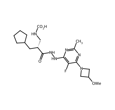 COC1CN(c2nc(C)nc(NNC(=O)[C@@H](CNC(=O)O)CC3CCCC3)c2F)C1